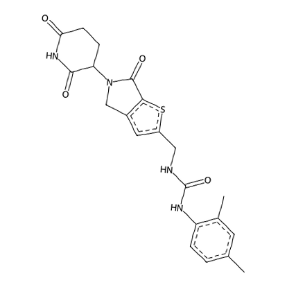 Cc1ccc(NC(=O)NCc2cc3c(s2)C(=O)N(C2CCC(=O)NC2=O)C3)c(C)c1